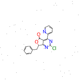 O=C1OC(Cc2ccccc2)c2nc(Cl)nc(-c3ccccn3)c21